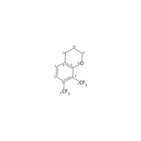 FC(F)(F)c1ccc2c(c1C(F)(F)F)OCCC2